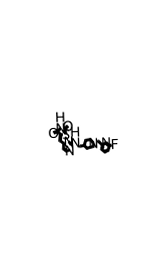 O=C1NC(=O)C(=Cc2ccnc(NCC3CCN(Cc4cccc(F)n4)CC3)n2)S1